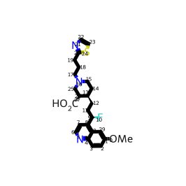 COc1ccc2nccc([C@H](F)CC[C@@H]3CCN(CCCc4nccs4)C[C@@H]3C(=O)O)c2c1